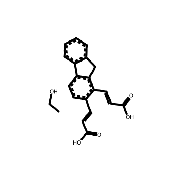 CCO.O=C(O)C=Cc1ccc2c(c1C=CC(=O)O)Cc1ccccc1-2